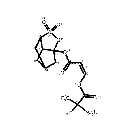 O=C(/C=C\OC(=O)C(F)(C(F)(F)F)S(=O)(=O)O)OC12CC3CC1C(C3)S(=O)(=O)O2